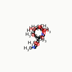 CCCn1ccc2cc(OC3CCC(C=C(C)C4CC(=O)C5CCCCN5C(=O)C(=O)C5(O)CC(C(OC)CC(C)C(O)/C(C)=C/C(CC)C(=O)CCC4C)C(OC)CC5C)CC3OC)ccc21